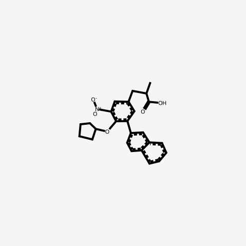 CC(Cc1cc(-c2ccc3ccccc3c2)c(OC2CCCC2)c([N+](=O)[O-])c1)C(=O)O